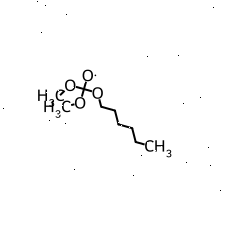 CCCCCCOC([O])(OC)OC